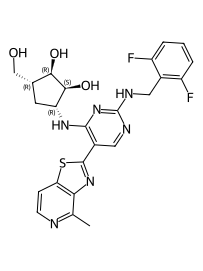 Cc1nccc2sc(-c3cnc(NCc4c(F)cccc4F)nc3N[C@@H]3C[C@H](CO)[C@@H](O)[C@H]3O)nc12